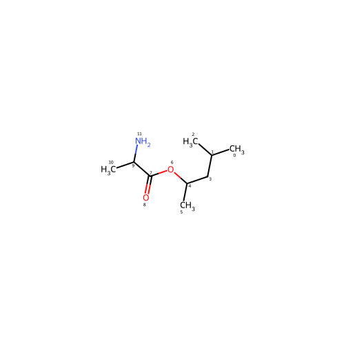 CC(C)CC(C)OC(=O)C(C)N